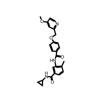 COc1ccnc(COc2ccc(C(=O)Nc3cc(C(=O)NC4CC4)ccc3C)cc2)c1